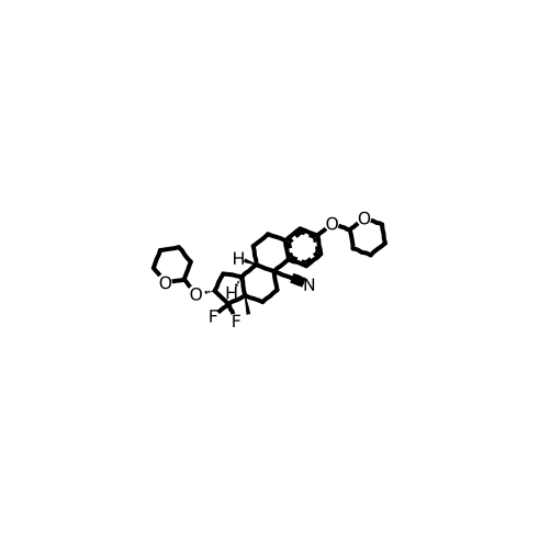 C[C@]12CCC3(C#N)c4ccc(OC5CCCCO5)cc4CC[C@H]3[C@@H]1C[C@@H](OC1CCCCO1)C2(F)F